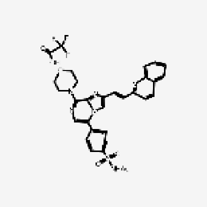 CC(=O)NS(=O)(=O)c1ccc(-c2cnc(N3CCOCC3)c3nc(C=Cc4ccc5ccccc5n4)cn23)cc1.O=C(O)C(F)(F)F